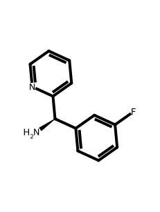 N[C@H](c1cccc(F)c1)c1ccccn1